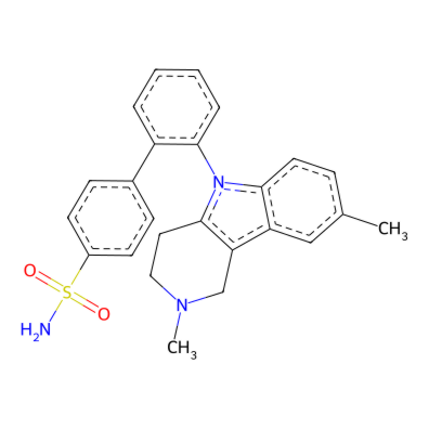 Cc1ccc2c(c1)c1c(n2-c2ccccc2-c2ccc(S(N)(=O)=O)cc2)CCN(C)C1